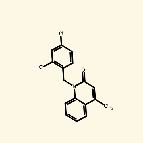 Cc1cc(=O)n(Cc2ccc(Cl)cc2Cl)c2ccccc12